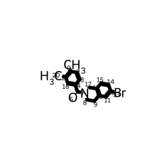 Cc1ccc(C(=O)N2CCc3cc(Br)ccc3C2)cc1C